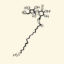 CCCCCCCCCCCCCCCCCC(=O)OCC1OC(OC2(CO)OC(CO)C(O)C2O)C(O)C(O)C1O